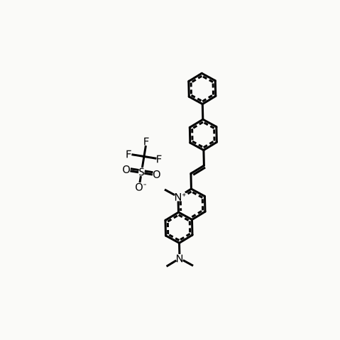 CN(C)c1ccc2c(ccc(C=Cc3ccc(-c4ccccc4)cc3)[n+]2C)c1.O=S(=O)([O-])C(F)(F)F